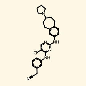 N#CCc1cccc(Nc2nc(Nc3ccc4c(c3)CCC(N3CCCC3)CC4)ncc2Cl)c1